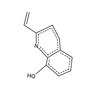 C=Cc1ccc2cccc(O)c2n1